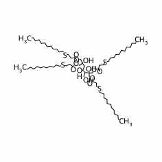 CCCCCCCCCCCCSCCC(=O)OCC(O)(COC(=O)CCSCCCCCCCCCCCC)CC(O)C(CO)C(O)(COC(=O)CCSCCCCCCCCCCCC)COC(=O)CCSCCCCCCCCCCCC